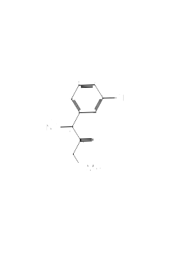 COCC(=O)C(C#N)c1cccc(C)c1